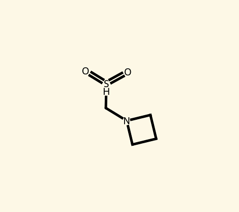 O=[SH](=O)CN1CCC1